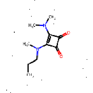 CCCN(C)c1c(N(C)C)c(=O)c1=O